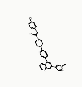 Cn1cc(-c2cc(-c3ccc(N4CCN(C(=O)Cc5ccc(Cl)cn5)CC4)nc3)c3cncnc3c2)cn1